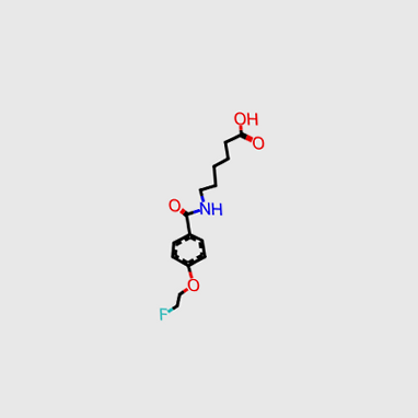 O=C(O)CCCCCNC(=O)c1ccc(OCCF)cc1